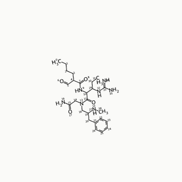 CCCCC(C=O)C(=O)NC(C(=O)N(CC(N)=O)CC(Cc1ccccc1)NC)C(CC)NC(=N)N